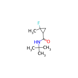 CC(C)(C)NC(=O)C1CC1(C)F